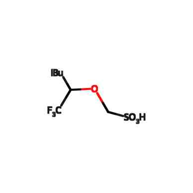 CCC(C)C(OCS(=O)(=O)O)C(F)(F)F